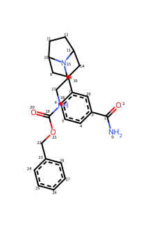 NC(=O)c1cccc(C2CC3CCC(C2)N3CCNC(=O)OCc2ccccc2)c1